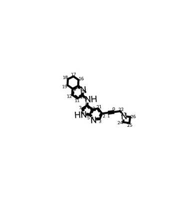 C(#Cc1cnc2[nH]cc(Nc3ccc4c(n3)CCCC4)c2c1)CN1CCC1